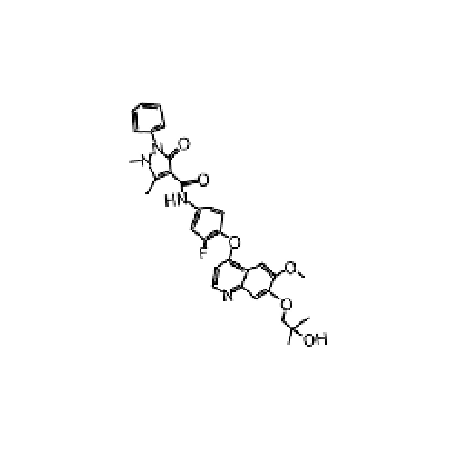 COc1cc2c(Oc3ccc(NC(=O)c4c(C)n(C)n(-c5ccccc5)c4=O)cc3F)ccnc2cc1OCC(C)(C)O